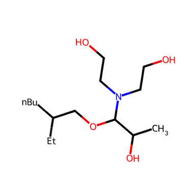 CCCCC(CC)COC(C(C)O)N(CCO)CCO